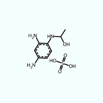 CC(O)Nc1ccc(N)cc1N.O=S(=O)(O)O